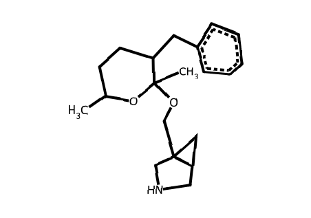 CC1CCC(Cc2ccccc2)C(C)(OCC23CNCC2C3)O1